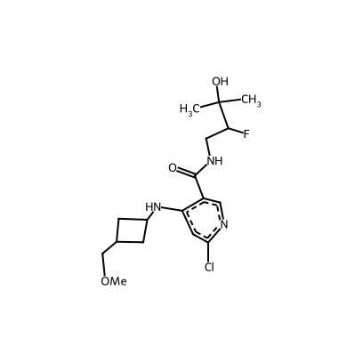 COCC1CC(Nc2cc(Cl)ncc2C(=O)NCC(F)C(C)(C)O)C1